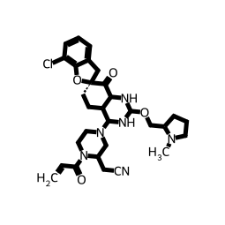 C=CC(=O)N1CCN(C2NC(OCC3CCCN3C)NC3C(=O)[C@]4(CCC32)Cc2cccc(Cl)c2O4)CC1CC#N